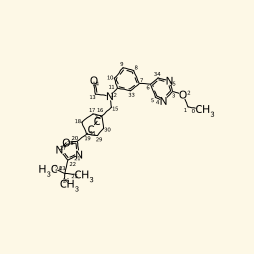 CCOc1ncc(-c2cccc(N(C=O)CC34CCC(c5nc(C(C)(C)C)no5)(CC3)CC4)c2)cn1